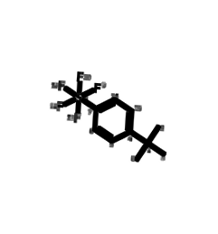 CC(C)(C)c1ccc(S(F)(F)(F)(F)F)cc1